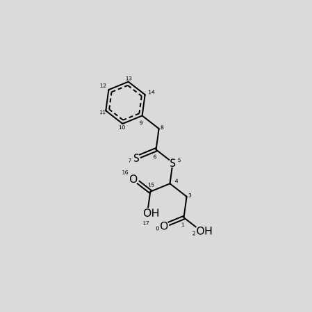 O=C(O)CC(SC(=S)Cc1ccccc1)C(=O)O